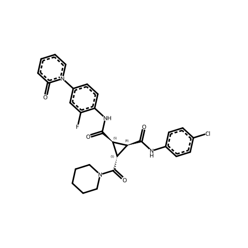 O=C(Nc1ccc(Cl)cc1)[C@@H]1[C@H](C(=O)Nc2ccc(-n3ccccc3=O)cc2F)[C@H]1C(=O)N1CCCCC1